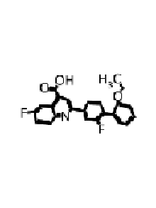 CCOc1ccccc1-c1ccc(-c2cc(C(=O)O)c3cc(F)ccc3n2)cc1F